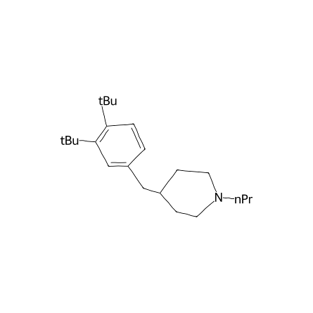 CCCN1CCC(Cc2ccc(C(C)(C)C)c(C(C)(C)C)c2)CC1